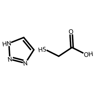 O=C(O)CS.c1c[nH]nn1